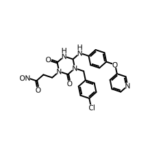 O=NC(=O)CCN1C(=O)NC(Nc2ccc(Oc3cccnc3)cc2)N(Cc2ccc(Cl)cc2)C1=O